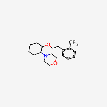 FC(F)(F)c1ccccc1CCOC1CCCCC1N1CCOCC1